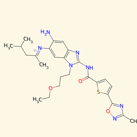 CCOCCCn1c(NC(=O)c2ccc(-c3nc(C)no3)s2)nc2cc(N)c(/N=C(\C)CC(C)C)cc21